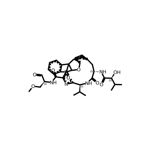 COC[C@@H](C=O)NC(=O)c1nc2oc1C13c4ccccc4NC1Oc1ccc(cc13)C[C@H](NC(=O)[C@@H](O)C(C)C)C(=O)N[C@H]2C(C)C